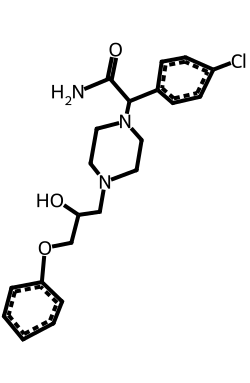 NC(=O)C(c1ccc(Cl)cc1)N1CCN(CC(O)COc2ccccc2)CC1